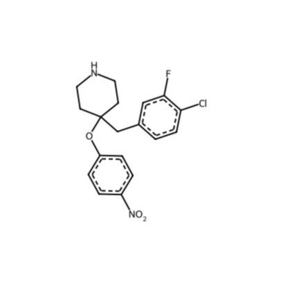 O=[N+]([O-])c1ccc(OC2(Cc3ccc(Cl)c(F)c3)CCNCC2)cc1